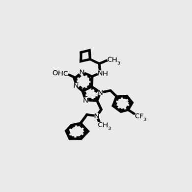 CC(Nc1nc(C=O)nc2nc(CN(C)Cc3ccccc3)n(Cc3ccc(C(F)(F)F)cc3)c12)C1CCC1